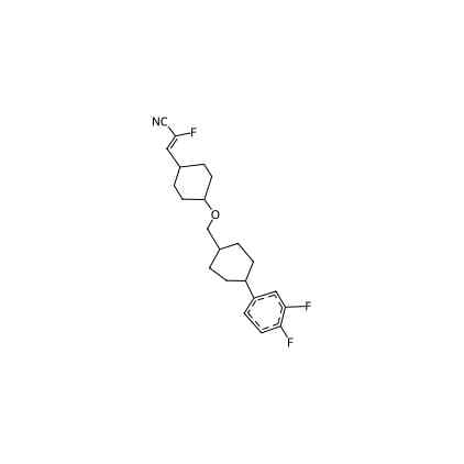 N#CC(F)=CC1CCC(OCC2CCC(c3ccc(F)c(F)c3)CC2)CC1